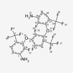 Nc1ccc(C(F)(F)F)c(Oc2c(F)cc(C(F)(F)F)c(Oc3c(C(F)(F)F)ccc(N)c3F)c2F)c1F